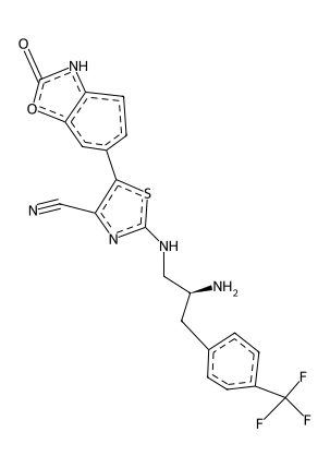 N#Cc1nc(NC[C@@H](N)Cc2ccc(C(F)(F)F)cc2)sc1-c1ccc2[nH]c(=O)oc2c1